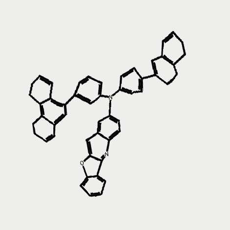 C1=CC2=C(CC1)CCC(c1ccc(N(c3cccc(-c4cc5c(c6c4C=CCC6)CCC=C5)c3)c3ccc4nc5c(cc4c3)oc3ccccc35)cc1)=C2